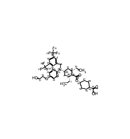 CC[C@@H]1C[C@H](N(Cc2cc(C(F)(F)F)cc(C(F)(F)F)c2)c2ncc(OCCO)cn2)C[C@H](CC)N1C(=O)O[C@H]1CC[C@H](C(=O)O)CC1